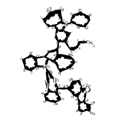 C=C/C=C\c1cc2c(cc1C1=CC3c4ccccc4N(c4nc(-c5ccc6oc7ccccc7c6c5)c5ccccc5n4)C3c3ccccc31)c1ccccc1n2-c1ccccc1